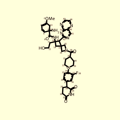 COC1=CC=CC(N)(C(=O)NC2(CCO)CC3(CN(C(=O)C4CCN(c5ccc(C6CCC(=O)NC6=O)cc5F)CC4)C3)C2c2ncc3nccnc3n2)C1